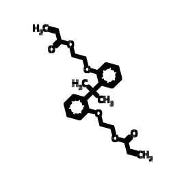 C=CC(=O)OCCOc1ccccc1C(C)(C)c1ccccc1OCCOC(=O)C=C